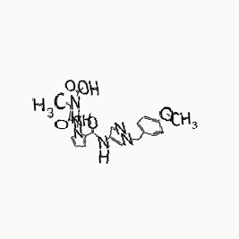 COc1ccc(Cn2cc(NC(=O)c3cccn3NC(=O)C(C)NC(=O)O)cn2)cc1